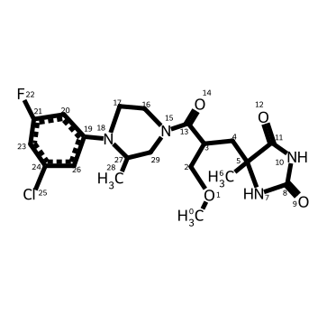 COCC(CC1(C)NC(=O)NC1=O)C(=O)N1CCN(c2cc(F)cc(Cl)c2)C(C)C1